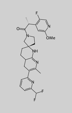 COc1cc([C@@H](C)C(=O)N2CC[C@@]3(CCC4CC(c5cccc(C(F)F)n5)=C(C)N=C4N3)C2)c(F)cn1